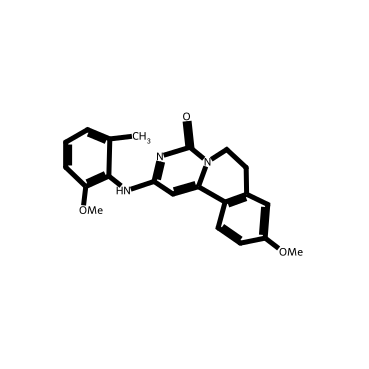 COc1ccc2c(c1)CCn1c-2cc(Nc2c(C)cccc2OC)nc1=O